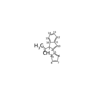 CC(C)C1C(C2=CC=CC2)=Cc2ccccc21